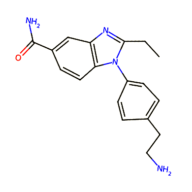 CCc1nc2cc(C(N)=O)ccc2n1-c1ccc(CCN)cc1